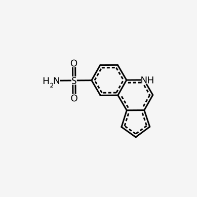 NS(=O)(=O)c1ccc2[nH]cc3cccc-3c2c1